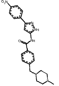 CN1CCN(Cc2ccc(C(=O)Nc3cc(-c4ccc([N+](=O)[O-])cc4)n[nH]3)cc2)CC1